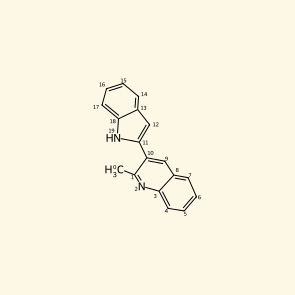 Cc1nc2ccccc2cc1-c1cc2ccccc2[nH]1